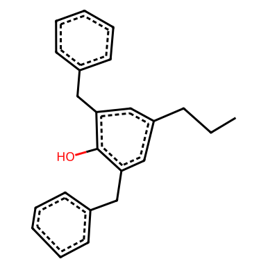 CCCc1cc(Cc2ccccc2)c(O)c(Cc2ccccc2)c1